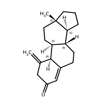 C=C1CC(=O)C=C2CC[C@@H]3[C@H](CC[C@]4(C)CCC[C@@H]34)[C@H]12